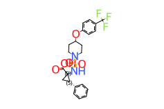 O=C(O)[C@@]1(NS(=O)(=O)N2CCC(Oc3ccc(C(F)(F)F)cc3)CC2)C[C@H]1c1ccccc1